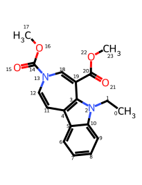 CCn1c2c(c3ccccc31)C=CN(C(=O)OC)C=C2C(=O)OC